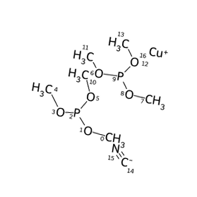 COP(OC)OC.COP(OC)OC.[C-]#N.[Cu+]